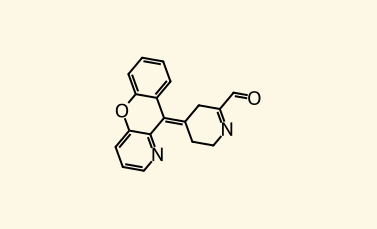 O=CC1=NCCC(=C2c3ccccc3Oc3cccnc32)C1